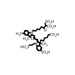 Cc1ccc2c(c1)C(C)(C)C(C=CC=C1N(CCCS(=O)(=O)O)c3ccc(S(=O)(=O)O)cc3C1(C)CCCCCC(=O)O)=[N+]2CCCCCC(=O)C(CS(=O)(=O)O)C(=O)O